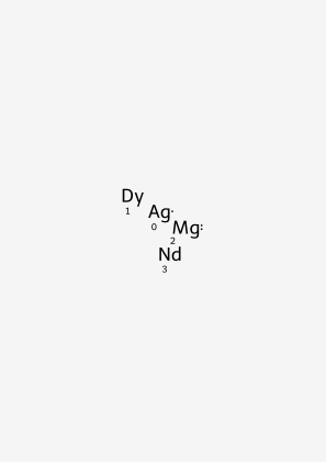 [Ag].[Dy].[Mg].[Nd]